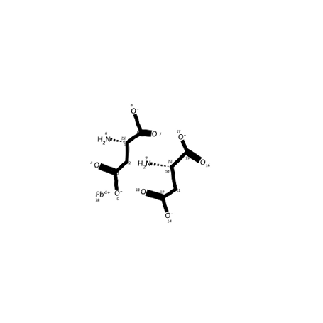 N[C@@H](CC(=O)[O-])C(=O)[O-].N[C@@H](CC(=O)[O-])C(=O)[O-].[Pb+4]